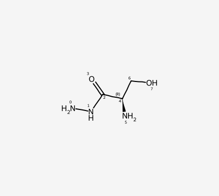 NNC(=O)[C@H](N)CO